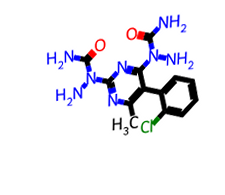 Cc1nc(N(N)C(N)=O)nc(N(N)C(N)=O)c1-c1ccccc1Cl